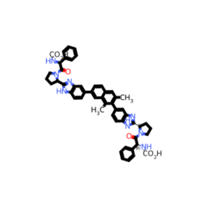 Cc1cc2ccc(-c3ccc4[nH]c(C5CCCN5C(=O)C(NC(=O)O)c5ccccc5)nc4c3)cc2c(C)c1-c1ccc2[nH]c([C@@H]3CCCN3C(=O)[C@H](NC(=O)O)c3ccccc3)nc2c1